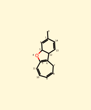 CC1=CC2OC3=C(CC=CC=C3)C2C=C1